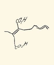 C=CC/C(C(=O)O)=C(/C)C(=O)O